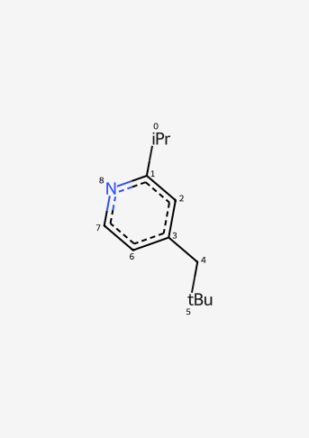 CC(C)c1cc(CC(C)(C)C)ccn1